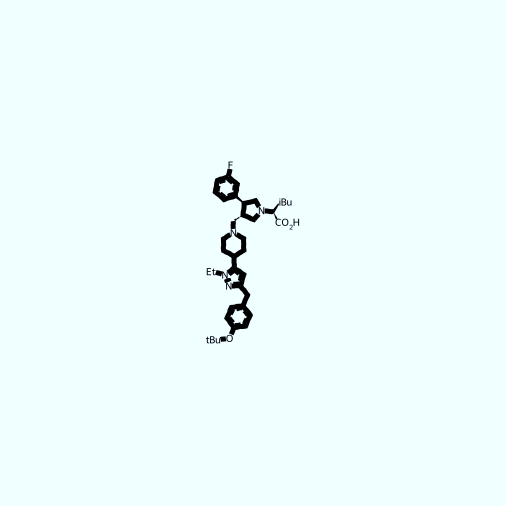 CC[C@H](C)[C@H](C(=O)O)N1C[C@H](CN2CCC(c3cc(Cc4ccc(OC(C)(C)C)cc4)nn3CC)CC2)[C@@H](c2cccc(F)c2)C1